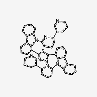 c1cncc(-c2cccc(-n3c4ccccc4c4cccc(-c5nnc(-c6cccc7c8ccccc8n(-c8cccc(-c9cccnc9)n8)c67)s5)c43)n2)c1